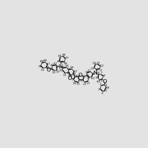 c1ccc(Oc2ccc(N(c3ccccc3)c3ccc4c(ccc5c6ccc7oc8c9ccc(N(c%10ccccc%10)c%10ccc(Oc%11ccccc%11)cc%10)cc9ccc8c7c6oc45)c3)cc2)cc1